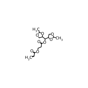 C=CC(=O)OCCC(=O)OC(C1COC(C)O1)C1COC(C)O1